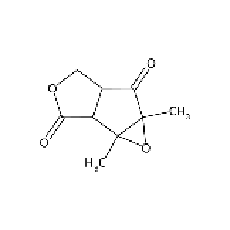 CC12OC1(C)C1C(=O)OCC1C2=O